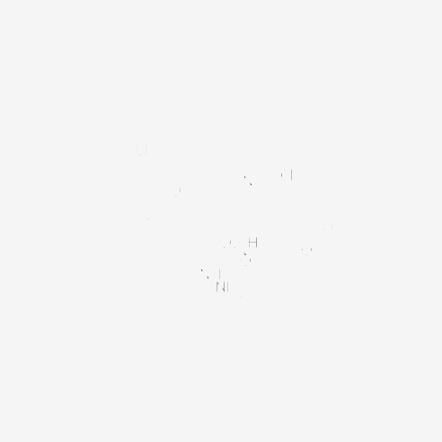 C[N+]1(Cc2cc3c(cc2Cl)OCO3)C=Cc2cc(OCc3c(Cl)cccc3Cl)ccc21.NC(=O)[C@]1(C(=O)O)CCCN1